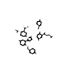 CC(=O)CCC(=O)c1cc(Br)ccc1OCc1ccc(F)cc1.COC(=O)c1cc(-n2c(C)ccc2-c2cc(Br)ccc2OCc2ccc(F)cc2)ccc1OC(F)F